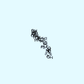 O=C(N=S1(=O)CCC(O)CC1)c1cc(F)c(COc2nc3[nH]c(O[C@@H]4CO[C@H]5[C@@H]4OC[C@H]5O)nc3cc2Cl)c(F)c1